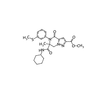 COC(=O)c1cc2n(n1)CC(C)(C(=O)NC1CCCCC1)N(c1cccc(SC)c1)C2=O